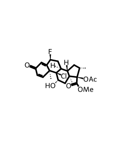 COC(=O)[C@@]1(OC(C)=O)[C@@H](C)C[C@H]2[C@@H]3C[C@H](F)C4=CC(=O)C=C[C@]4(C)[C@@]3(Cl)[C@@H](O)C[C@@]21C